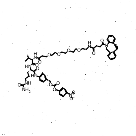 CC(C)[C@H](NC(=O)CCOCCOCCOCCOCCNC(=O)CCC(=O)N1Cc2ccccc2C#Cc2ccccc21)C(=O)N[C@@H](CCCNC(N)=O)C(=O)Nc1ccc(COC(=O)Oc2ccc([N+](=O)[O-])cc2)cc1